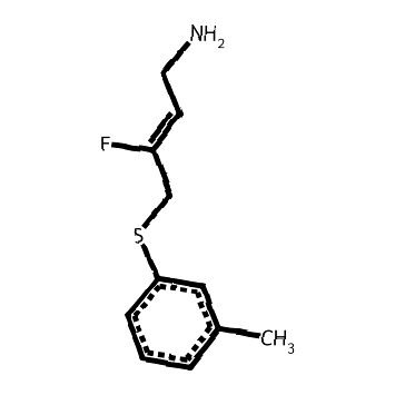 Cc1cccc(SC/C(F)=C/CN)c1